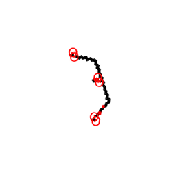 CCC(=O)OC(CCCCCCCC/C=C\CCCCCCCCOC(C)=O)CCCCCCCC/C=C\CCCCCCCCOC(C)=O